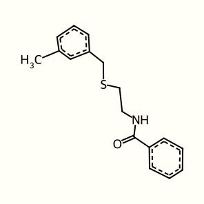 Cc1cccc(CSCCNC(=O)c2ccccc2)c1